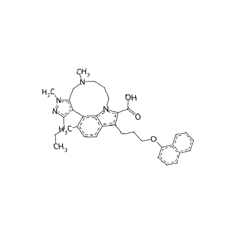 CCCc1nn(C)c2c1-c1c(C)ccc3c(CCCOc4cccc5ccccc45)c(C(=O)O)n(c13)CCCN(C)C2